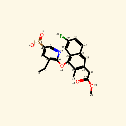 CCc1cc([SH](=O)=O)cnc1Oc1c(C)c(CC(=O)OC)cc2ccc(F)cc12